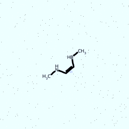 CB/C=C\NC